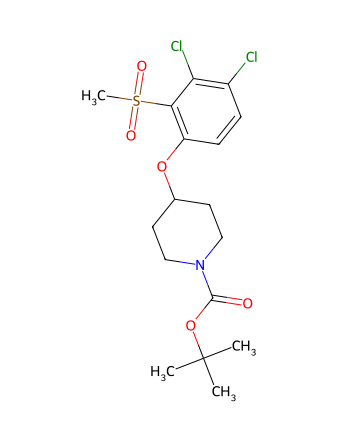 CC(C)(C)OC(=O)N1CCC(Oc2ccc(Cl)c(Cl)c2S(C)(=O)=O)CC1